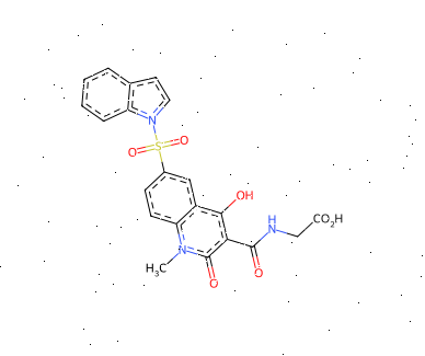 Cn1c(=O)c(C(=O)NCC(=O)O)c(O)c2cc(S(=O)(=O)n3ccc4ccccc43)ccc21